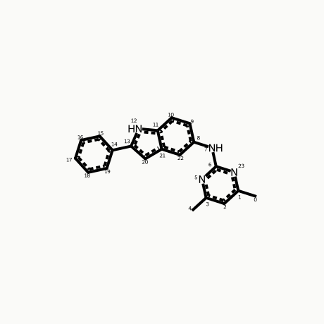 Cc1cc(C)nc(Nc2ccc3[nH]c(-c4ccccc4)cc3c2)n1